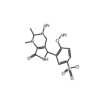 CCCOc1ccc(S(=O)(=O)Cl)cc1C1NC(=O)C2=C1CN(CCC)C(C)N2C